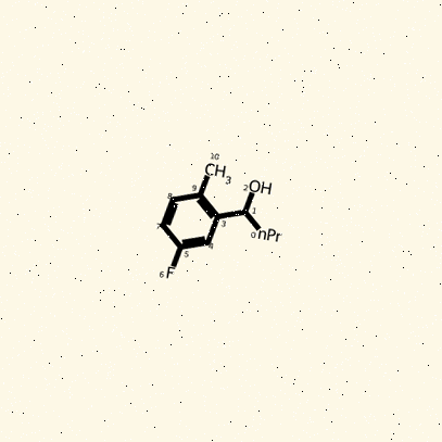 CCCC(O)c1cc(F)ccc1C